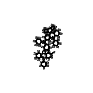 Cc1ccc(N(c2ccccc2)c2ccccc2)c2oc3cc(N(c4ccc5c(c4)N(c4ccccc4)c4ccccc4C54c5ccccc5-c5ccccc54)C4C=CC=CC4)ccc3c12